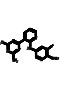 COc1ncc(Nc2ncccc2-c2nc(C)nc(N)n2)cc1F